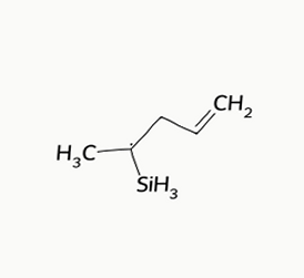 C=CC[C](C)[SiH3]